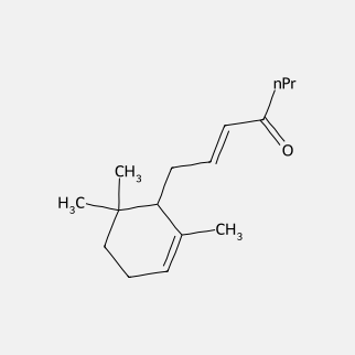 CCCC(=O)C=CCC1C(C)=CCCC1(C)C